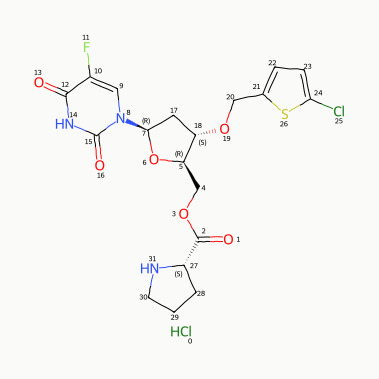 Cl.O=C(OC[C@H]1O[C@@H](n2cc(F)c(=O)[nH]c2=O)C[C@@H]1OCc1ccc(Cl)s1)[C@@H]1CCCN1